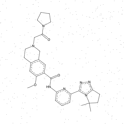 COc1cc2c(cc1C(=O)Nc1cccc(-c3nnc4n3C(C)(C)CC4)n1)CN(CC(=O)N1CCCC1)CC2